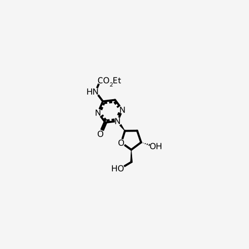 CCOC(=O)Nc1cnn([C@H]2C[C@H](O)[C@@H](CO)O2)c(=O)n1